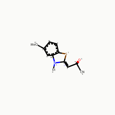 CCN1/C(=C/C(=O)C#N)Sc2ccc(OC)cc21